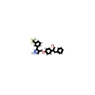 O=CC(Cc1ccccc1)c1ccc(OCc2c[nH]nc2-c2cccc(C(F)(F)F)c2)cc1